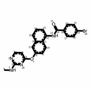 CNc1nccc(Oc2ccc3c(NC(=O)c4ccc(Br)cc4)cccc3c2)n1